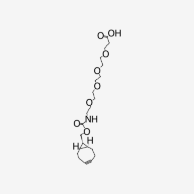 O=C(O)CCOCCOCCOCCOCCNC(=O)OC[C@@H]1[C@@H]2CCC#CCC[C@@H]21